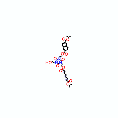 CC(C)OC(=O)/C=C/C=C/C=C/C(=O)OCCn1c(=O)n(CCO)c(=O)n(CCOC(=O)c2ccc3cc(C(=O)OC(C)C)ccc3c2)c1=O